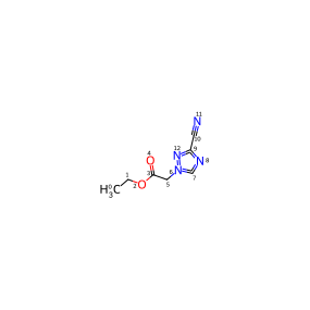 CCOC(=O)Cn1cnc(C#N)n1